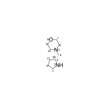 C1CN[C@@H](CN2CCOCC2)C1